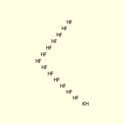 F.F.F.F.F.F.F.F.F.F.F.F.F.[KH]